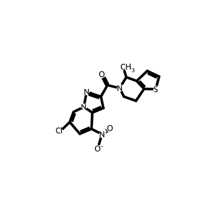 CC1c2ccsc2CCN1C(=O)c1cc2c([N+](=O)[O-])cc(Cl)cn2n1